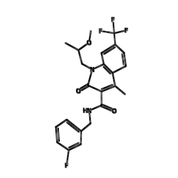 COC(C)Cn1c(=O)c(C(=O)NCc2cccc(F)c2)c(C)c2ccc(C(F)(F)F)cc21